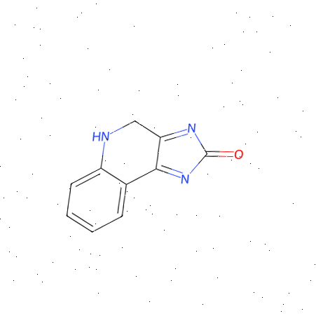 O=C1N=C2CNc3ccccc3C2=N1